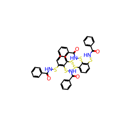 O=C(NSc1cccc(SSc2cccc(SNC(=O)c3ccccc3)c2SNC(=O)c2ccccc2)c1SNC(=O)c1ccccc1)c1ccccc1